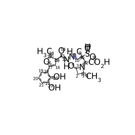 C[C@@H]1CC(=O)N1[C@@H](C(=O)O)[C@](C)(/C=N/NC(=O)[C@H]1C=C(c2cccc(O)c2O)O[C@@H]1C)[SH](=O)=O